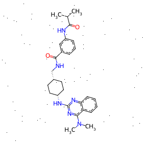 CC(C)C(=O)Nc1cccc(C(=O)NC[C@H]2CC[C@@H](Nc3nc(N(C)C)c4ccccc4n3)CC2)c1